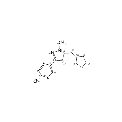 Cn1nc(-c2ccc(Cl)cc2)sc1=NC1CCCC1